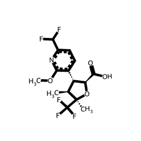 COc1nc(C(F)F)ccc1[C@@H]1[C@@H](C(=O)O)O[C@@](C)(C(F)(F)F)[C@H]1C